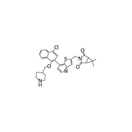 CC1(C)C2C(=O)N(Cc3cc4nccc(-c5cc(Cl)c6ccccc6c5OCC5CCNCC5)c4s3)C(=O)C21